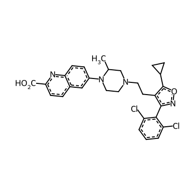 CC1CN(CCc2c(-c3c(Cl)cccc3Cl)noc2C2CC2)CCN1c1ccc2nc(C(=O)O)ccc2c1